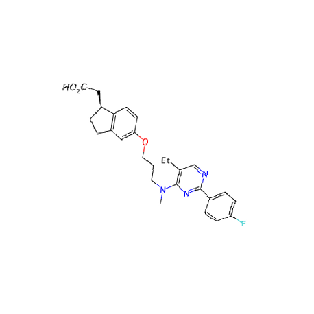 CCc1cnc(-c2ccc(F)cc2)nc1N(C)CCCOc1ccc2c(c1)CC[C@H]2CC(=O)O